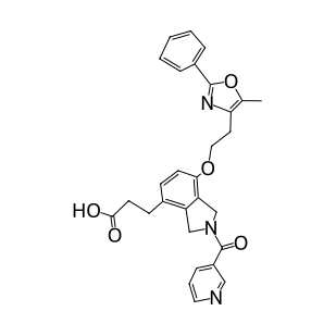 Cc1oc(-c2ccccc2)nc1CCOc1ccc(CCC(=O)O)c2c1CN(C(=O)c1cccnc1)C2